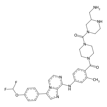 Cc1cc(Nc2nccn3c(-c4ccc(OC(F)F)cc4)cnc23)ccc1C(=O)N1CCN(C(=O)N2CCNC(CN)C2)CC1